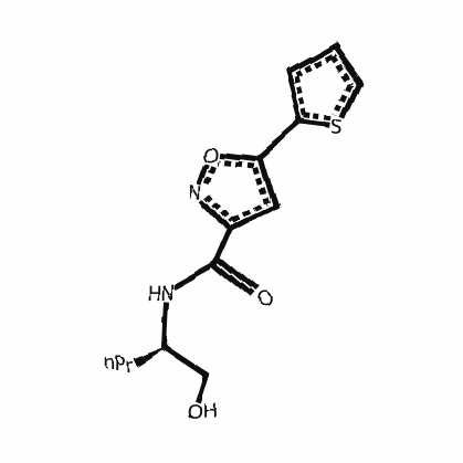 CCC[C@H](CO)NC(=O)c1cc(-c2cccs2)on1